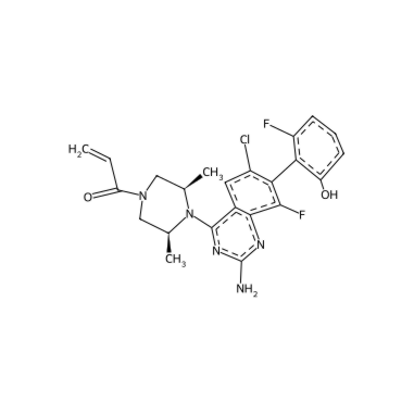 C=CC(=O)N1C[C@@H](C)N(c2nc(N)nc3c(F)c(-c4c(O)cccc4F)c(Cl)cc23)[C@@H](C)C1